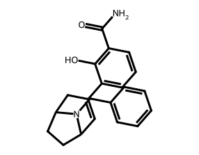 NC(=O)c1cccc(C2=CC3CCC(C2)N3Cc2ccccc2)c1O